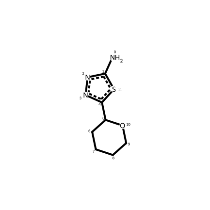 Nc1nnc(C2CCCCO2)s1